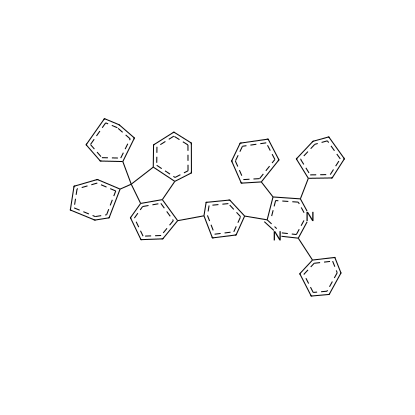 c1ccc(-c2nc(-c3ccccc3)c(-c3ccccc3)c(-c3ccc(-c4cccc5c4-c4ccccc4C5(c4ccccc4)c4ccccc4)cc3)n2)cc1